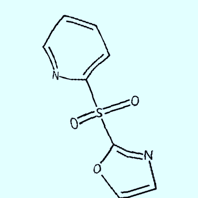 O=S(=O)(c1ccccn1)c1ncco1